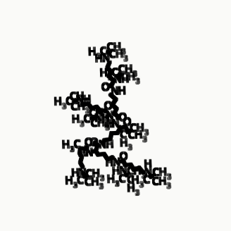 CC(CCCCNC(C)(C)C)C(=O)NC(CCCCNC(=O)C(CCCCNC(C)(C)C)NC(C)(C)C)C(=O)NCCCCC(NC(=O)C(CCCCNC(=O)C(CCCCNC(C)(C)C)NC(C)(C)C)NC(=O)C(CCCCNC(C)(C)C)NC(C)(C)C)C(=O)C(C)(C)C